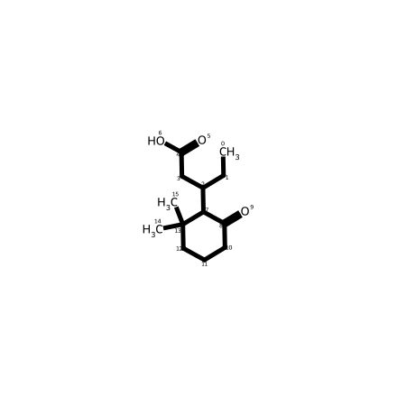 CCC(CC(=O)O)C1C(=O)CCCC1(C)C